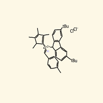 CC1=C(C)C(C)[C](/[Zr+2](=[CH]/c2ccc(C)cc2)[CH]2c3ccc(C(C)(C)C)cc3-c3cc(C(C)(C)C)ccc32)=C1C.[Cl-].[Cl-]